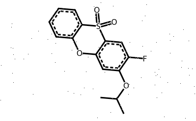 CC(C)Oc1cc2c(cc1F)S(=O)(=O)c1ccccc1O2